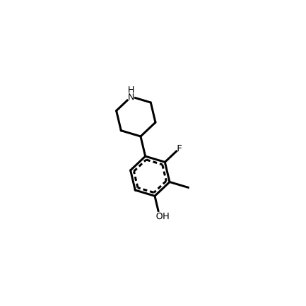 Cc1c(O)ccc(C2CCNCC2)c1F